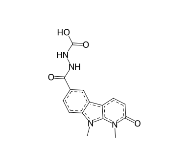 Cn1c(=O)ccc2c3cc(C(=O)NNC(=O)O)ccc3n(C)c21